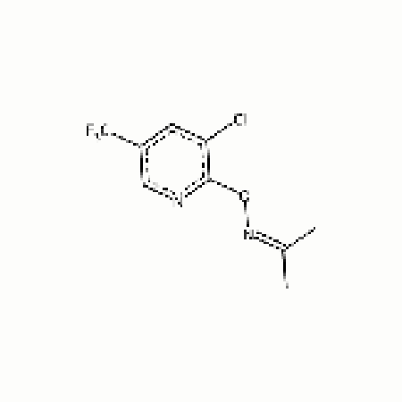 CC(C)=NOc1ncc(C(F)(F)F)cc1Cl